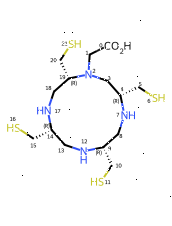 O=C(O)CN1C[C@H](CS)NC[C@H](CS)NC[C@H](CS)NC[C@@H]1CS